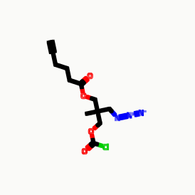 C#CCCCC(=O)OCC(C)(CN=[N+]=[N-])COC(=O)Cl